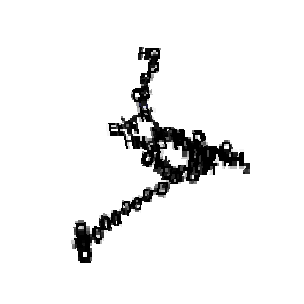 CCC1=C(C)c2cc3[nH]c(cc4nc(c5c6[nH]c(cc1n2)c(C)c6C(=O)N(CCN1CCOCC1)C5=O)[C@@H](CCC(=O)N(C)CCNC(=O)[C@H](CCCNC(N)=O)NC(=O)[C@@H](NC(=O)CCOCCOCCOCCOCCOCCOCCOCCOCCN1C(=O)C=CC1=O)C(C)C)[C@@H]4C)c(C)c3/C=C/C(=O)OCCOCCOCCO